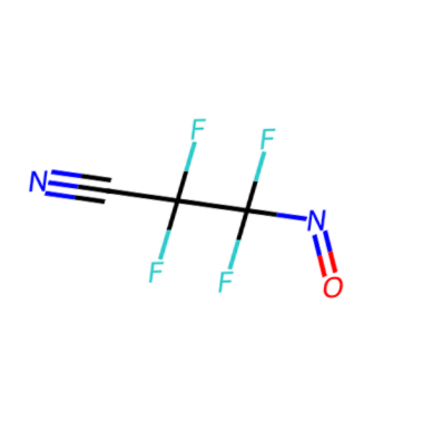 N#CC(F)(F)C(F)(F)N=O